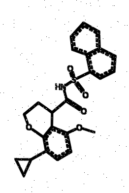 COc1ccc(C2CC2)c2c1C(C(=O)NS(=O)(=O)c1cccc3ccccc13)CCO2